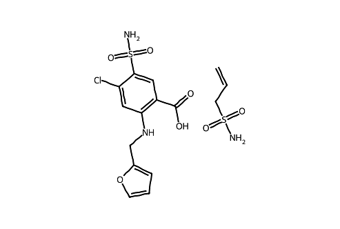 C=CCS(N)(=O)=O.NS(=O)(=O)c1cc(C(=O)O)c(NCc2ccco2)cc1Cl